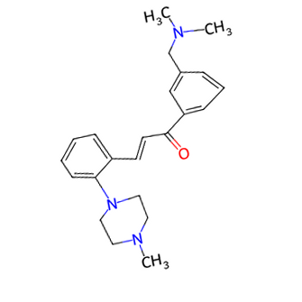 CN(C)Cc1cccc(C(=O)C=Cc2ccccc2N2CCN(C)CC2)c1